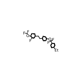 CCc1ccc(C(F)(F)Oc2ccc(CCc3ccc(OC(F)F)c(F)c3)cc2)cc1